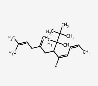 C=C(CC=C(C)C)CC(/C(F)=C\C=C/C)C(C)(C)C(C)(C)C